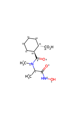 CC(C(=O)NO)N(C)C(=O)[C@H]1CCCC[C@@H]1C(=O)O